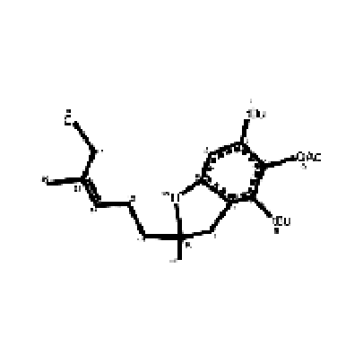 CC(=O)Oc1c(C(C)(C)C)cc2c(c1C(C)(C)C)CC(C)(CCC=C(C)CCl)O2